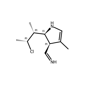 CC1=CN[C@H]([C@@H](C)[C@@H](C)Cl)[C@@H]1C=N